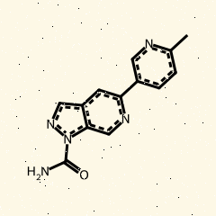 Cc1ccc(-c2cc3[c]nn(C(N)=O)c3cn2)cn1